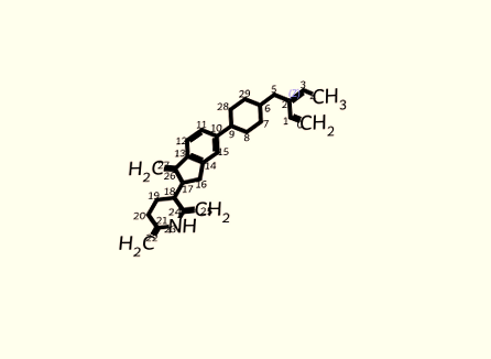 C=C/C(=C\C)CC1CCC(c2ccc3c(c2)CC(C2CCC(=C)NC2=C)C3=C)CC1